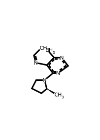 C/C=N\c1c(C)ncnc1N1CCC[C@@H]1C